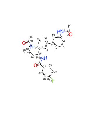 CC(=O)Nc1cccc(-c2ccc3c(c2)[C@H](NC(=O)c2ccc(F)cc2)C[C@H](C)N3C(C)=O)c1